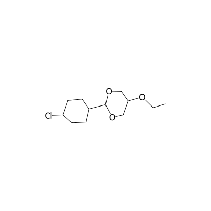 CCOC1COC(C2CCC(Cl)CC2)OC1